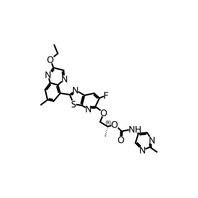 CCOc1cnc2c(-c3nc4cc(F)c(OC[C@@H](C)OC(=O)Nc5cnc(C)nc5)nc4s3)cc(C)cc2n1